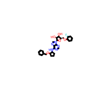 O[C@@H]1[C@H](O)[C@H](n2cnc3c(NC4CCCC4OCc4ccccc4)ncnc32)O[C@@H]1COc1ccccc1F